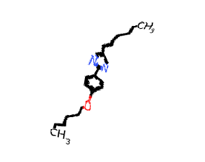 CCCCCCOc1ccc(-c2ncc(CCCCCC)cn2)cc1